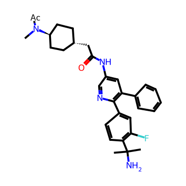 CC(=O)N(C)[C@H]1CC[C@H](CC(=O)Nc2cnc(-c3ccc(C(C)(C)N)c(F)c3)c(-c3ccccc3)c2)CC1